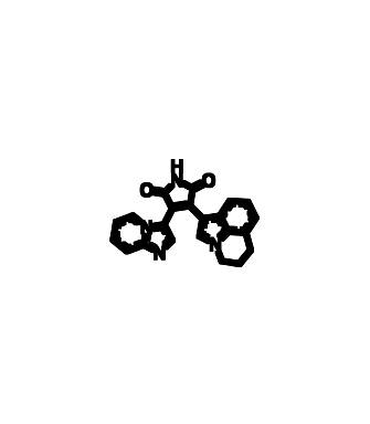 O=C1NC(=O)C(c2cnc3ccccn23)=C1c1cn2c3c(cccc13)CCC2